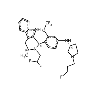 C[C@@H]1Cc2c([nH]c3ccccc23)[C@@H](c2ccc(N[C@@H]3CCN(CCCF)C3)cc2OC(F)(F)F)N1CC(F)F